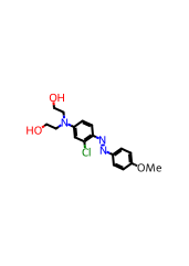 COc1ccc(N=Nc2ccc(N(CCO)CCO)cc2Cl)cc1